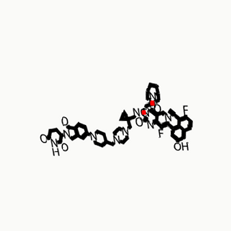 C#Cc1c(F)ccc2cc(O)cc(-c3ncc4c(N5CC6CCC(C5)N6C(=O)CC#N)nc(OCC5(CN6CCN(CC7CCN(c8ccc9c(c8)CN(C8CCC(=O)NC8=O)C9=O)CC7)CC6)CC5)nc4c3F)c12